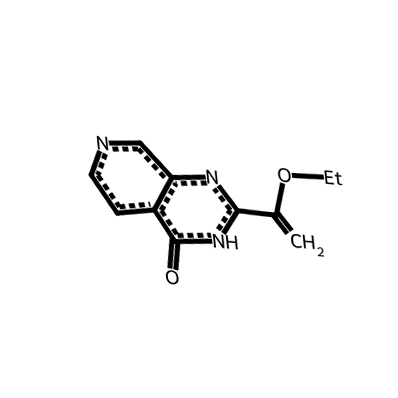 C=C(OCC)c1nc2cnccc2c(=O)[nH]1